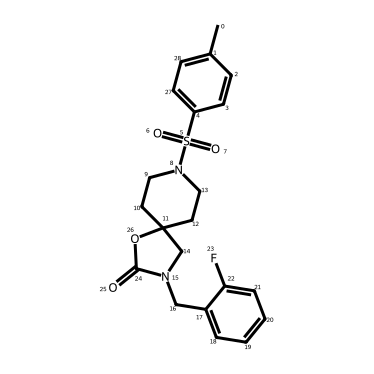 Cc1ccc(S(=O)(=O)N2CCC3(CC2)CN(Cc2ccccc2F)C(=O)O3)cc1